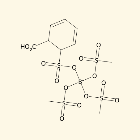 CS(=O)(=O)O[B-](OS(C)(=O)=O)(OS(C)(=O)=O)OS(=O)(=O)C1C=CC=CC1C(=O)O